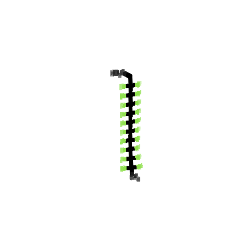 O=C(O)CC(F)(F)C(F)(F)C(F)(F)C(F)(F)C(F)(F)C(F)(F)C(F)(F)C(F)(F)C(F)(F)C(F)(F)C(F)(F)F